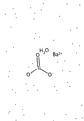 O.[Ba+2].[O]=[Ti]([O-])[O-]